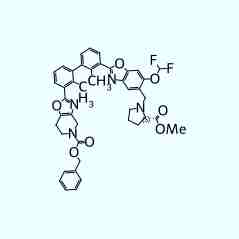 COC(=O)[C@@H]1CCCN1Cc1cc2nc(-c3cccc(-c4cccc(-c5nc6c(o5)CCN(C(=O)OCc5ccccc5)C6)c4C)c3C)oc2cc1OC(F)F